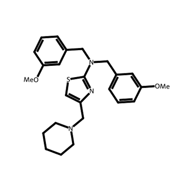 COc1cccc(CN(Cc2cccc(OC)c2)c2nc(CN3CCCCC3)cs2)c1